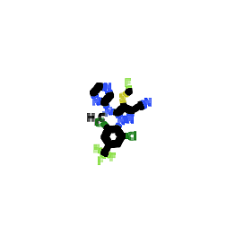 CN(c1cnccn1)c1c(SCF)c(C#N)nn1-c1c(Cl)cc(C(F)(F)F)cc1Cl